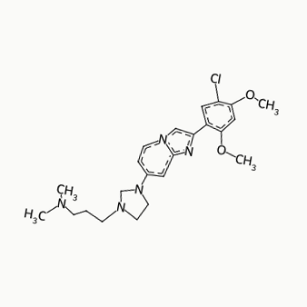 COc1cc(OC)c(-c2cn3ccc(N4CCN(CCCN(C)C)C4)cc3n2)cc1Cl